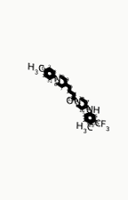 Cc1ccc(N2CCC(CCCC(=O)N3CCC(Nc4ccc(C)c(C(F)(F)F)c4)CC3)CC2)cc1